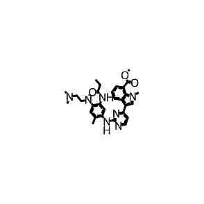 CCC(=O)Nc1cc(Nc2nccc(-c3cn(C)c4c(C(=O)OC)cccc34)n2)c(C)cc1N(C)CCN(C)C